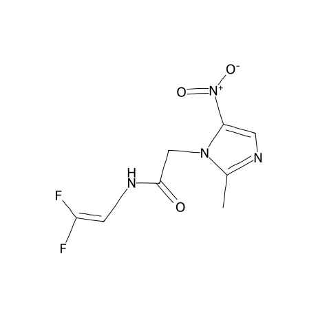 Cc1ncc([N+](=O)[O-])n1CC(=O)NC=C(F)F